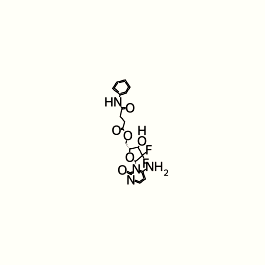 Nc1ccnc(=O)n1[C@@H]1O[C@H](COC(=O)CCC(=O)Nc2ccccc2)[C@@H](O)C1(F)F